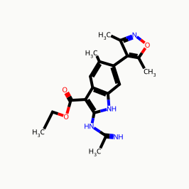 CCOC(=O)c1c(NC(C)=N)[nH]c2cc(-c3c(C)noc3C)c(C)cc12